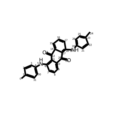 Cc1ccc(Nc2cccc3c2C(=O)c2cccc(Nc4ccc(C)cc4)c2C3=O)cc1